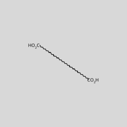 O=C(O)CCCCCCCC=CCC=CCC=CCCCCCCCC=CCC=CCC=CCCCCCCCC(=O)O